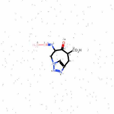 B/B=N/C1Cn2cc(nn2)CC(C(=O)O)C1=O